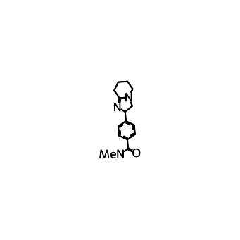 CNC(=O)c1ccc(C2CN3CCCCC3=N2)cc1